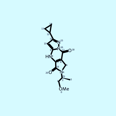 COC[C@H](C)N1Cc2c([nH]c3cc(C4CC4)nn3c2=O)C1=O